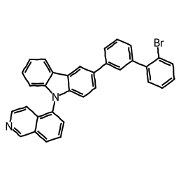 Brc1ccccc1-c1cccc(-c2ccc3c(c2)c2ccccc2n3-c2cccc3cnccc23)c1